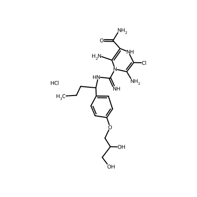 CCCC(NC(=N)N1C(N)=C(Cl)NC(C(N)=O)=C1N)c1ccc(OCC(O)CO)cc1.Cl